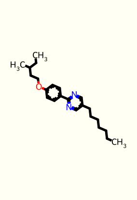 CCCCCCCc1cnc(-c2ccc(OCCC(C)CC)cc2)nc1